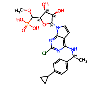 COC([C@@H]1O[C@@H](n2ccc3c(N[C@H](C)c4ccc(C5CC5)cc4)nc(Cl)nc32)[C@H](O)[C@@H]1O)P(=O)(O)O